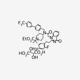 CCOC(=O)C(C)(C)N1CCC(N(Cc2ccc(-c3ccc(C(F)(F)F)cc3)cc2)C(=O)Cn2c(CCc3ccc(F)cc3F)nc(=O)c3ccccc32)CC1.O=C(O)C(O)C(O)C(=O)O